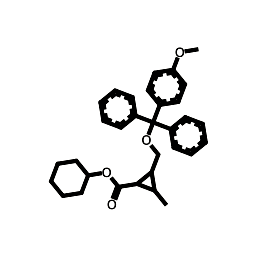 COc1ccc(C(OCC2C(C)C2C(=O)OC2CCCCC2)(c2ccccc2)c2ccccc2)cc1